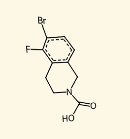 O=C(O)N1CCc2c(ccc(Br)c2F)C1